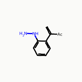 C=C(C(C)=O)c1ccccc1NN